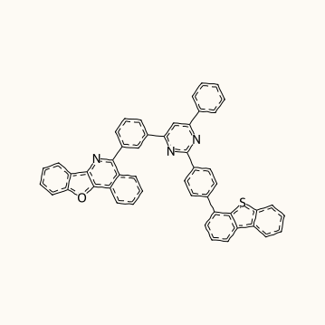 c1ccc(-c2cc(-c3cccc(-c4nc5c6ccccc6oc5c5ccccc45)c3)nc(-c3ccc(-c4cccc5c4sc4ccccc45)cc3)n2)cc1